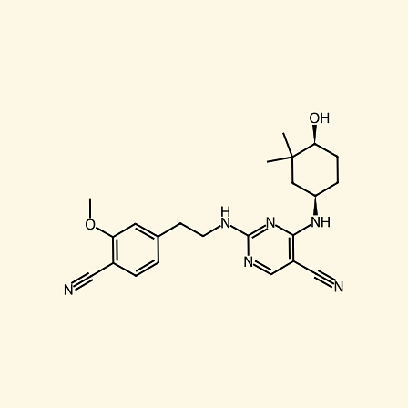 COc1cc(CCNc2ncc(C#N)c(N[C@@H]3CC[C@H](O)C(C)(C)C3)n2)ccc1C#N